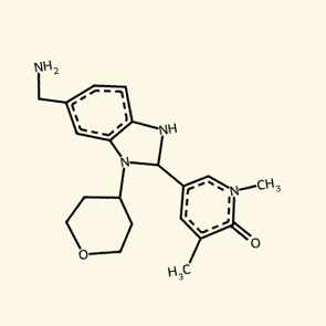 Cc1cc(C2Nc3ccc(CN)cc3N2C2CCOCC2)cn(C)c1=O